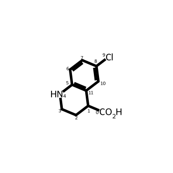 O=C(O)C1CCNc2ccc(Cl)cc21